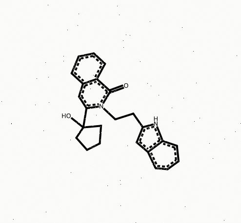 O=c1c2ccccc2cc(C2(O)CCCC2)n1CCc1cc2ccccc2[nH]1